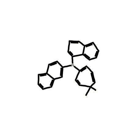 CC1(C)C=CC=C(N(c2ccc3ccccc3c2)c2cccc3ccccc23)C=C1